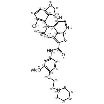 COc1cc(NC(=O)c2sc3ncc(C#N)c4c3c2NC(=O)N4c2c(Cl)ccc3c2OCO3)ccc1OCCN1CCCCC1